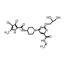 CONC(=O)c1cc(N2CCC(NC(=O)c3[nH]c(C)c(Cl)c3Cl)CC2)nc(OCC(O)CO)n1